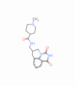 CN1CCC(C(=O)NCC2Cc3cccc4c(=O)[nH]c(=O)n(c34)C2)CC1